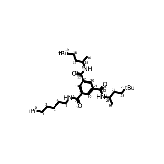 CC(C)CCCCCNC(=O)c1cc(C(=O)NC(C)CCC(C)(C)C)cc(C(=O)NC(C)CCC(C)(C)C)c1